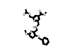 COC(=O)c1cc(CNCc2nc(OC)ccc2OCc2ccccc2)nc(COC(C)=O)c1